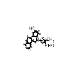 Cc1sc(N(Cc2cccc3cnccc23)c2ccc(C#N)cc2)nc1C=O